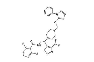 O=C(NCC(c1scnc1C(F)F)N1CCC(COc2nnnn2-c2ccccc2)CC1)c1c(F)cccc1Cl